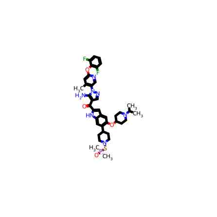 Cc1cc(Oc2c(F)cccc2F)ncc1-n1ncc(C(=O)c2cc3cc(OC4CCN(C(C)C)CC4)c(C4CCN(SP(C)(C)=O)CC4)cc3[nH]2)c1N